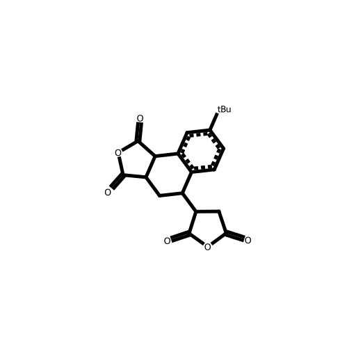 CC(C)(C)c1ccc2c(c1)C1C(=O)OC(=O)C1CC2C1CC(=O)OC1=O